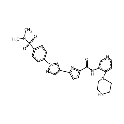 CN(C)S(=O)(=O)c1ccc(-n2cc(-c3nc(C(=O)Nc4cnccc4N4CCNCC4)cs3)cn2)cc1